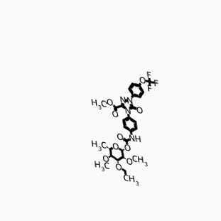 CCO[C@@H]1[C@@H](OC)[C@H](C)O[C@H](OC(=O)Nc2ccc(-n3c(C(=O)OC)nn(-c4ccc(OC(F)(F)F)cc4)c3=O)cc2)[C@@H]1OC